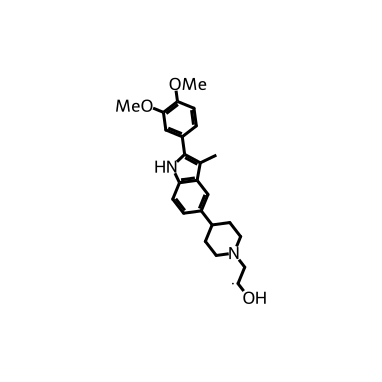 COc1ccc(-c2[nH]c3ccc(C4CCN(C[CH]O)CC4)cc3c2C)cc1OC